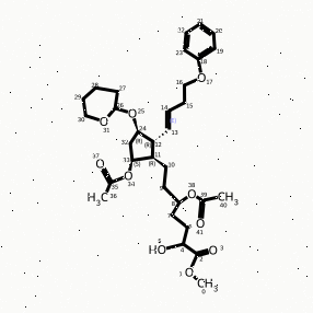 COC(=O)C(O)CCC(CC[C@@H]1[C@@H](/C=C/CCOc2ccccc2)[C@H](OC2CCCCO2)C[C@@H]1OC(C)=O)OC(C)=O